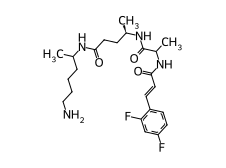 CC(CCCCN)NC(=O)CC[C@@H](C)NC(=O)C(C)NC(=O)/C=C/c1ccc(F)cc1F